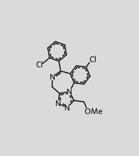 COCc1nnc2n1-c1ccc(Cl)cc1C(c1ccccc1Cl)=NC2